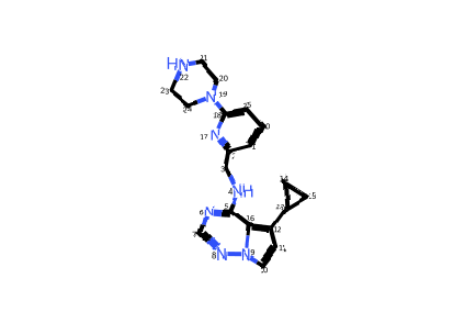 c1cc(CNc2ncnn3ccc(C4CC4)c23)nc(N2CCNCC2)c1